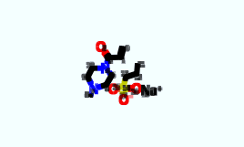 C=CC(=O)N1CCN(C)CC1.CCCS(=O)(=O)[O-].[Na+]